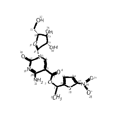 CC(OC(=O)c1cn([C@@H]2O[C@H](CO)[C@@H](O)[C@@H]2O)c(=O)nc1N)c1ccc([N+](=O)[O-])s1